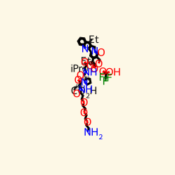 CCc1c2c(nc3ccccc13)-c1cc3c(c(=O)n1C2)COC(=O)[C@@]3(CC)OC(=O)[C@@H](NC(=O)[C@@H]1CCCN1C(=O)[C@H](CC(=O)O)NC(=O)CCOCCOCCOCCN)C(C)C.O=C(O)C(F)(F)F